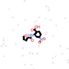 O=C(Nc1cc([N+](=O)[O-])ccc1C(=O)O)c1ccco1